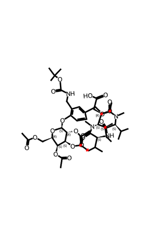 CC[C@H](C)[C@@H]([C@@H](CC(=O)O)OC)N(C)C(=O)[C@@H](NC(=O)[C@H](C(C)C)N(C)C(=O)OCc1ccc(O[C@@H]2O[C@H](COC(C)=O)[C@H](OC(C)=O)[C@H](OC(C)=O)[C@H]2OC(C)=O)c(CNC(=O)OC(C)(C)C)c1)C(C)C